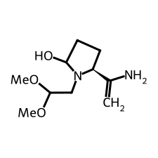 C=C(N)[C@@H]1CCC(O)N1CC(OC)OC